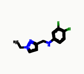 CCn1ccc(CNc2ccc(Cl)c(F)c2)n1